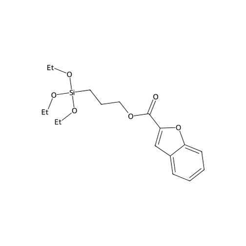 CCO[Si](CCCOC(=O)c1cc2ccccc2o1)(OCC)OCC